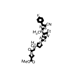 CCc1nc2sc(N3CC[C@H](N(C)CC(=O)N4CC(C(=O)OC)C4)C3)nn2c1N(C)c1nc(-c2ccc(F)cc2)c(C#N)s1